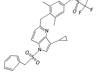 Cc1cc(OS(=O)(=O)C(F)(F)F)cc(C)c1Cc1ccc2c(n1)c(C1CC1)cn2S(=O)(=O)Cc1ccccc1